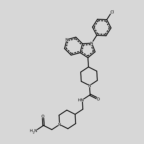 NC(=O)CN1CCC(CNC(=O)N2CCC(c3cn(-c4ccc(Cl)cc4)c4cnccc34)CC2)CC1